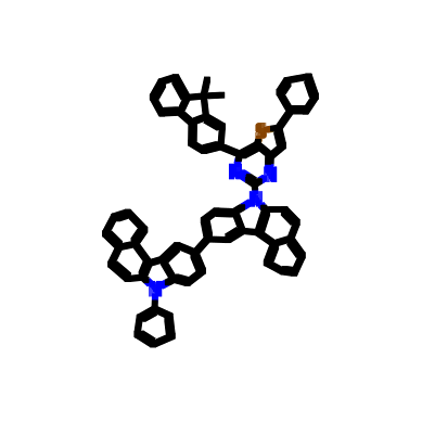 CC1(C)c2ccccc2-c2ccc(-c3nc(-n4c5ccc(-c6ccc7c(c6)c6c8ccccc8ccc6n7-c6ccccc6)cc5c5c6ccccc6ccc54)nc4cc(-c5ccccc5)sc34)cc21